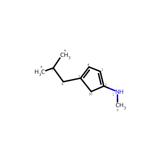 CNC1=CC=C(CC(C)C)C1